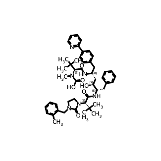 Cc1ccccc1CN1CCN([C@H](C(=O)N[C@@H](Cc2ccccc2)[C@@H](O)C[C@@H](Cc2ccc(-c3ccccn3)cc2)NC(=O)[C@@H](N(C)C(=O)O)C(C)(C)C)C(C)(C)C)C1=O